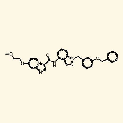 COCCOc1ccn2c(C(=O)Nc3cccc4c3cnn4Cc3cccc(OCc4ccccc4)c3)cnc2c1